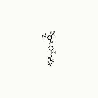 CC(C)(C)OC(=O)NCCN[C@H]1CC[C@H](CNc2cc(C(F)(F)F)cc(C(F)(F)F)c2)CC1